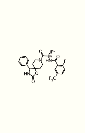 CC(C)[C@@H](NC(=O)c1cc(C(F)(F)F)ccc1F)C(=O)N1CCC2(CC1)OC(=O)NC2c1ccccc1